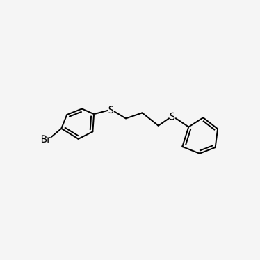 Brc1ccc(SCCCSc2ccccc2)cc1